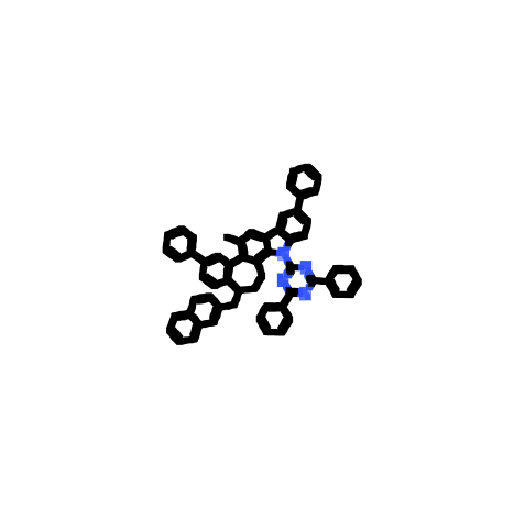 Cc1cc2c3cc(-c4ccccc4)ccc3n(-c3nc(-c4ccccc4)nc(-c4ccccc4)n3)c2c2c1-c1cc(-c3ccccc3)ccc1C(Cc1ccc3ccccc3c1)CC2